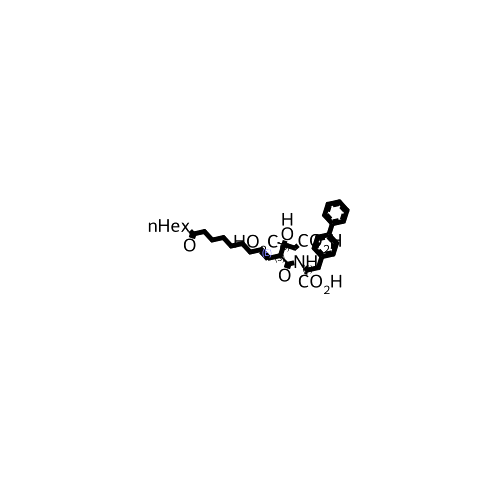 CCCCCCC(=O)CCCCCC/C=C/[C@H](C(=O)N[C@@H](Cc1ccc(-c2ccccc2)cc1)C(=O)O)[C@@](O)(CC(=O)O)C(=O)O